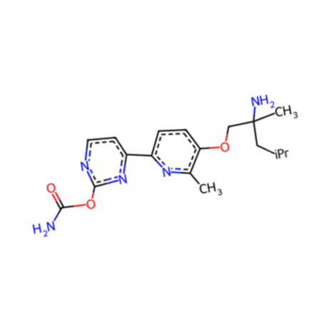 Cc1nc(-c2ccnc(OC(N)=O)n2)ccc1OCC(C)(N)CC(C)C